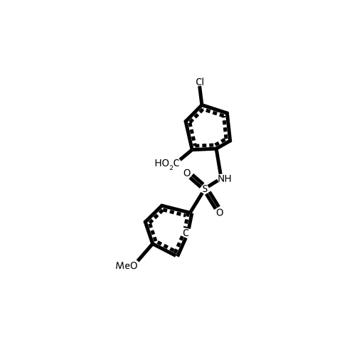 COc1ccc(S(=O)(=O)Nc2ccc(Cl)cc2C(=O)O)cc1